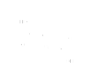 O=[13C](O)/[13CH]=[13CH]/[13C](=O)O